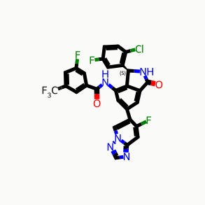 O=C(Nc1cc(-c2cn3ncnc3cc2F)cc2c1[C@@H](c1cc(F)ccc1Cl)NC2=O)c1cc(F)cc(C(F)(F)F)c1